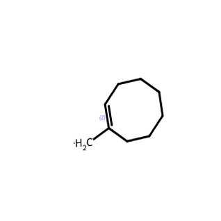 [CH2]/C1=C/CCCCCC1